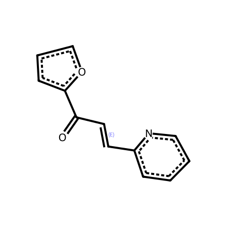 O=C(/C=C/c1ccccn1)c1ccco1